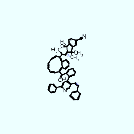 C=C1/C(=C\C(=C)c2ccccccc(C(=C)c3ccccc3-c3cc(-c4ccccc4)ncc3/C=C\c3ccccc3)c3ccccc23)C(C)(C)c2cc(C#N)ccc21